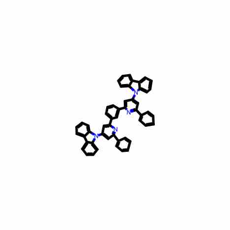 c1ccc(-c2cc(-n3c4ccccc4c4ccccc43)cc(-c3cccc(-c4cc(-n5c6ccccc6c6ccccc65)cc(-c5ccccc5)n4)c3)n2)cc1